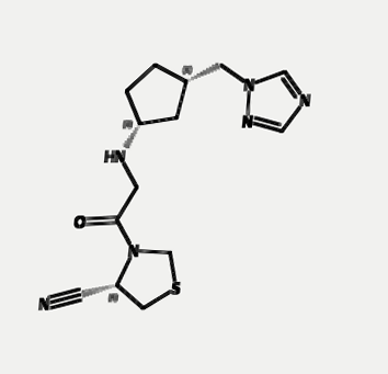 N#C[C@H]1CSCN1C(=O)CN[C@@H]1CC[C@H](Cn2cncn2)C1